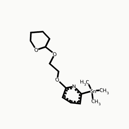 [CH3][Sn]([CH3])([CH3])[c]1cccc(OCCOC2CCCCO2)n1